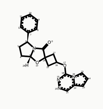 O=C1N2[C@@H](CC[C@H]2c2ccccc2)OC12CC(Oc1nncc3cccn13)C2